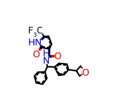 O=C(NC(c1ccccc1)c1ccc(C2COC2)cc1)c1ccc(C(F)(F)F)[nH]c1=O